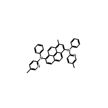 Cc1ccc(N(c2ccccc2)c2ccc3ccc4c(N(c5ccccc5)c5ccc(C)cn5)cc(C)c5ccc2c3c54)nc1